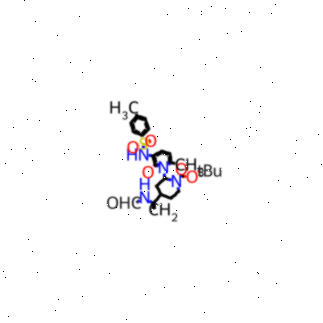 C=C(NC=O)C1CCN(C(=O)OC(C)(C)C)C(n2c(C)ccc(NS(=O)(=O)c3ccc(C)cc3)c2=O)C1